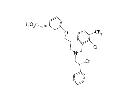 CC[C@@H](CN(CCCOC1=CC=C/C(=C\C(=O)O)C1)Cc1cccc(C(F)(F)F)c1Cl)c1ccccc1